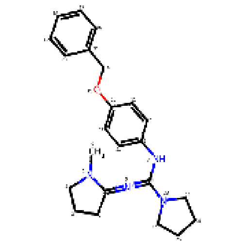 CN1CCCC1=[N+]=C(Nc1ccc(OCc2ccccc2)cc1)N1CCCC1